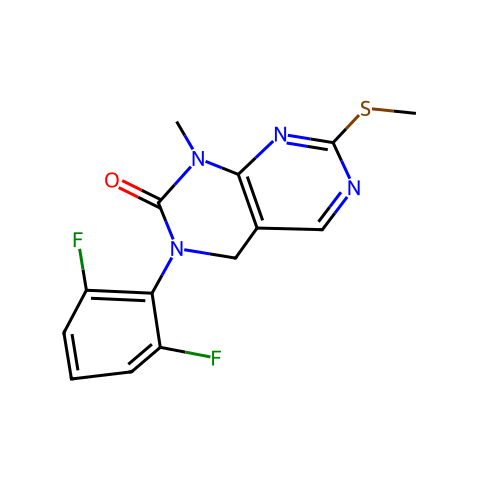 CSc1ncc2c(n1)N(C)C(=O)N(c1c(F)cccc1F)C2